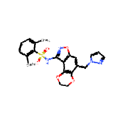 COc1cccc(OC)c1S(=O)(=O)Nc1noc2cc(Cn3cccn3)c3c(c12)OCCO3